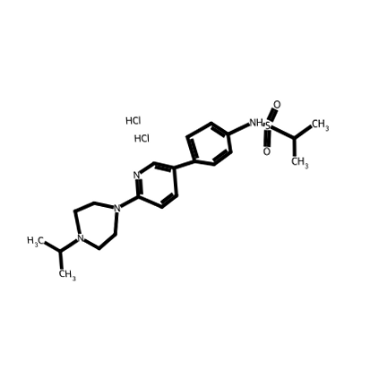 CC(C)N1CCN(c2ccc(-c3ccc(NS(=O)(=O)C(C)C)cc3)cn2)CC1.Cl.Cl